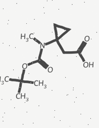 CN(C(=O)OC(C)(C)C)C1(CC(=O)O)CC1